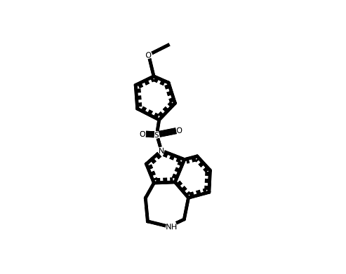 COc1ccc(S(=O)(=O)n2cc3c4c(cccc42)CNCC3)cc1